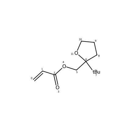 C=CC(=O)OCC1(C(C)(C)C)CCCO1